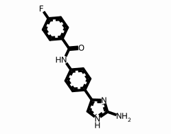 Nc1nc(-c2ccc(NC(=O)c3ccc(F)cc3)cc2)c[nH]1